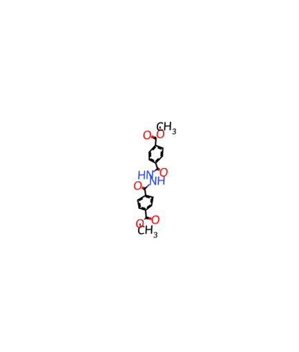 COC(=O)c1ccc(C(=O)NNC(=O)c2ccc(C(=O)OC)cc2)cc1